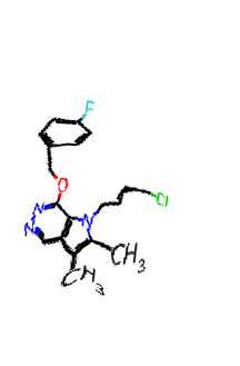 Cc1c(C)n(CC=CCl)c2c(OCc3ccc(F)cc3)nncc12